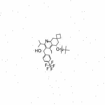 CC(C)c1nc2c(c(I)c1[C@@H](O)c1ccc(S(F)(F)(F)(F)F)cc1)[C@@H](O[Si](C)(C)C(C)(C)C)CC1(CCC1)C2